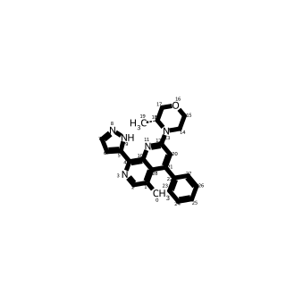 Cc1cnc(-c2ccn[nH]2)c2nc(N3CCOC[C@H]3C)cc(-c3ccccc3)c12